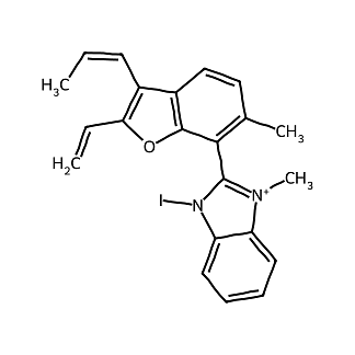 C=Cc1oc2c(-c3n(I)c4ccccc4[n+]3C)c(C)ccc2c1/C=C\C